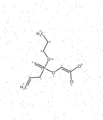 C=CCP(=S)(OC=C(Cl)Cl)OCCC